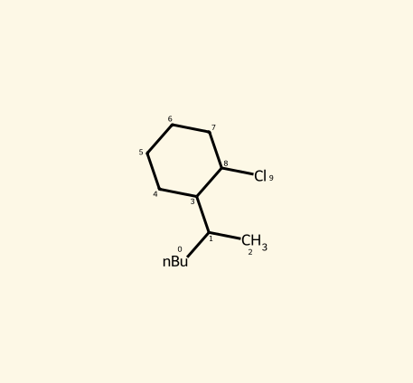 CCCCC(C)C1CCCCC1Cl